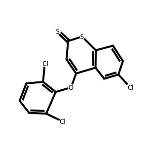 S=c1cc(Oc2c(Cl)cccc2Cl)c2cc(Cl)ccc2s1